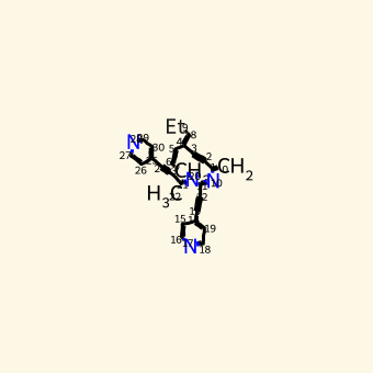 C=C(C#CC(/C=C\C)=C/CC)/N=C(C#Cc1ccncc1)\N=C(/C)C#Cc1ccncc1